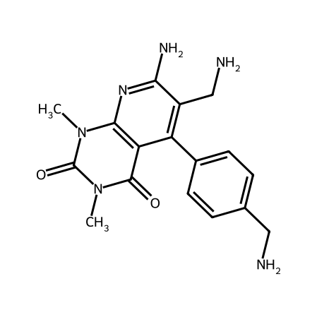 Cn1c(=O)c2c(-c3ccc(CN)cc3)c(CN)c(N)nc2n(C)c1=O